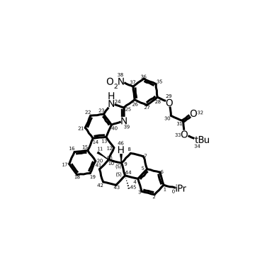 CC(C)c1ccc2c(c1)CC[C@H]1[C@@](C)(Cc3c(-c4ccccc4)ccc4[nH]c(-c5cc(OCC(=O)OC(C)(C)C)ccc5[N+](=O)[O-])nc34)CCC[C@]21C